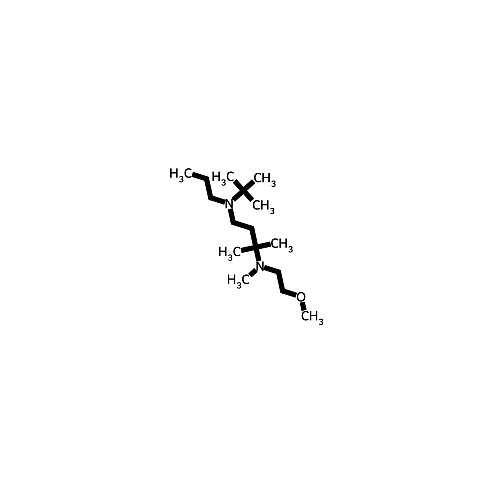 CCCN(CCC(C)(C)N(C)CCOC)C(C)(C)C